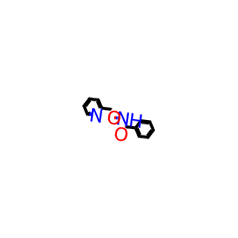 O=C(NOCc1ccccn1)c1ccccc1